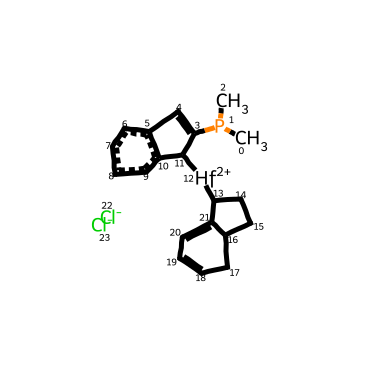 CP(C)C1=Cc2ccccc2[CH]1[Hf+2][CH]1CCC2CC=CC=C21.[Cl-].[Cl-]